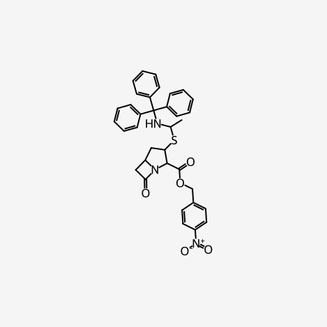 CC(NC(c1ccccc1)(c1ccccc1)c1ccccc1)SC1CC2CC(=O)N2C1C(=O)OCc1ccc([N+](=O)[O-])cc1